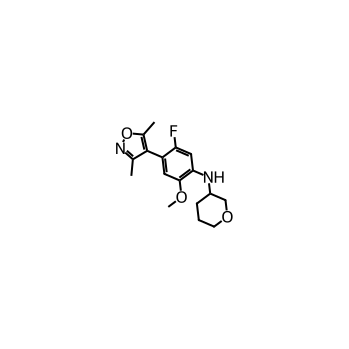 COc1cc(-c2c(C)noc2C)c(F)cc1NC1CCCOC1